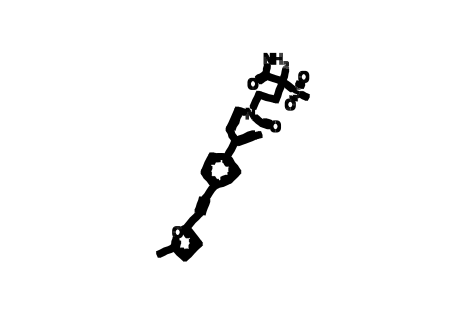 C/C=C(\C=C/N(C=O)CCC(C)(C(N)=O)S(C)(=O)=O)c1ccc(C#Cc2ccc(C)o2)cc1